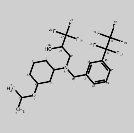 CC(C)OC1CCCC(N(Cc2cccc(C(F)(F)C(F)(F)F)c2)CC(O)C(F)(F)F)C1